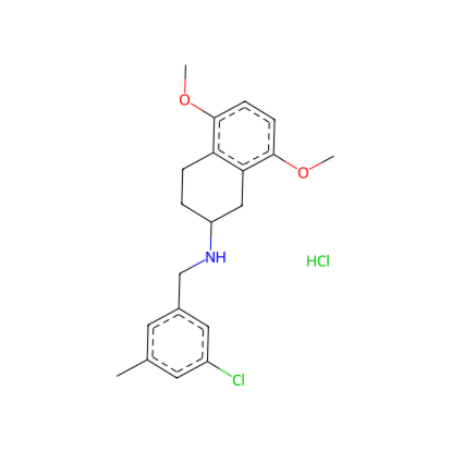 COc1ccc(OC)c2c1CCC(NCc1cc(C)cc(Cl)c1)C2.Cl